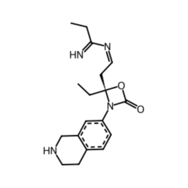 CCC(=N)/N=C\C[C@@]1(CC)OC(=O)N1c1ccc2c(c1)CNCC2